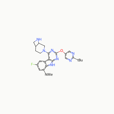 CNc1cc(F)cc2c1[nH]c1nc(Oc3cnc(C(C)(C)C)nc3)nc(N3CCC4CNC4C3)c12